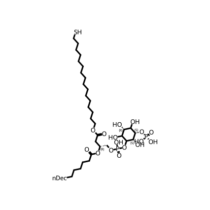 CCCCCCCCCCCCCCCC(=O)O[C@@H](COP(=O)(O)OC1C(O)[C@H](O)C(O)[C@H](OP(=O)(O)O)[C@@H]1O)CC(=O)OCCCCCCCCCCCCCCCCS